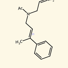 C=CCN(C/C=C(\C)c1ccccc1)C(C)=O